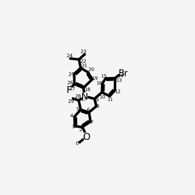 COc1ccc2c(c1)CC(c1ccc(Br)cc1)N(c1ccc(C(C)C)cc1F)C2C